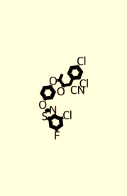 CC(Oc1ccc(Oc2nc3c(Cl)cc(F)cc3s2)cc1)C(=O)C(C#N)c1ccc(Cl)cc1Cl